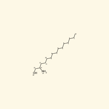 CCCCCCCCCCCCCC(N)CO